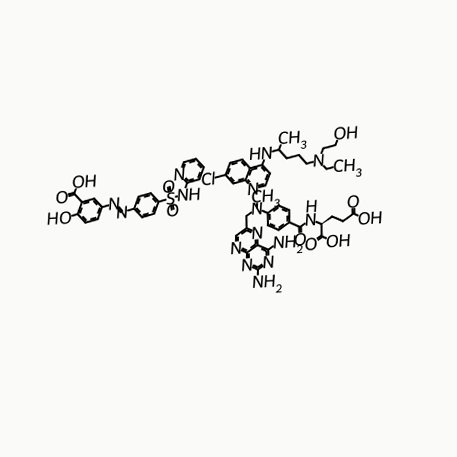 CCN(CCO)CCCC(C)Nc1ccnc2cc(Cl)ccc12.CN(Cc1cnc2nc(N)nc(N)c2n1)c1ccc(C(=O)N[C@@H](CCC(=O)O)C(=O)O)cc1.O=C(O)c1cc(N=Nc2ccc(S(=O)(=O)Nc3ccccn3)cc2)ccc1O